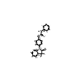 CC1(C)C(=O)N(c2ccc(OC(=O)Nc3ccccc3)cc2)c2ncccc21